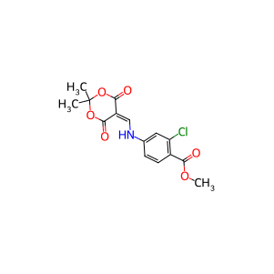 COC(=O)c1ccc(NC=C2C(=O)OC(C)(C)OC2=O)cc1Cl